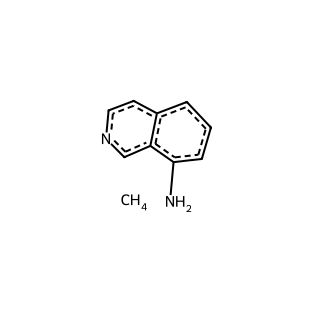 C.Nc1cccc2ccncc12